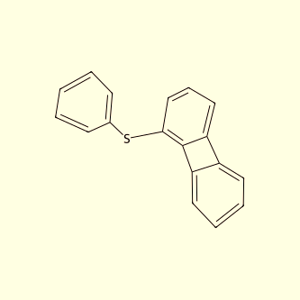 c1ccc(Sc2cccc3c2-c2ccccc2-3)cc1